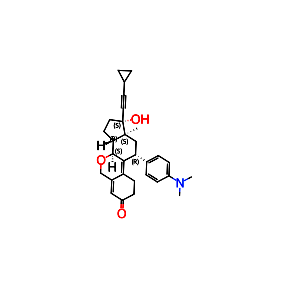 CN(C)c1ccc([C@H]2C[C@@]3(C)[C@@H](CC[C@@]3(O)C#CC3CC3)[C@@H]3OCC4=CC(=O)CCC4=C32)cc1